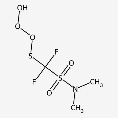 CN(C)S(=O)(=O)C(F)(F)SOOO